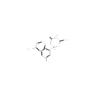 CN1C(=N)N[C@](C)(c2cccc(C#N)c2)[C@H](c2ccc(C#N)cc2)C1=O